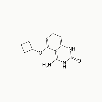 NC1=C2C(=CCC=C2OC2CCC2)NC(=O)N1